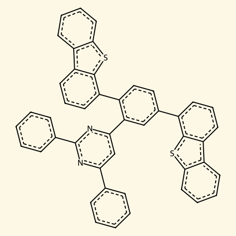 c1ccc(-c2cc(-c3cc(-c4cccc5c4sc4ccccc45)ccc3-c3cccc4c3sc3ccccc34)nc(-c3ccccc3)n2)cc1